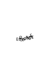 CCC(=O)OCOc1ccc(N=Nc2cc3sc(C)nc3s2)cc1